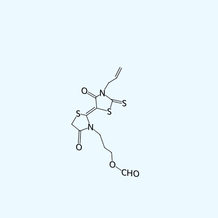 C=CCN1C(=O)/C(=C2\SCC(=O)N2CCCOC=O)SC1=S